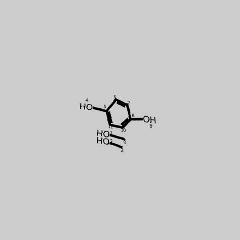 CO.CO.Oc1ccc(O)cc1